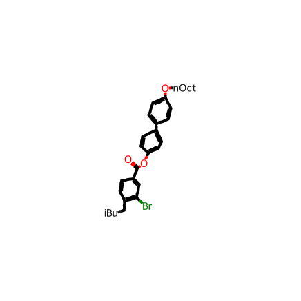 CCCCCCCCOc1ccc(-c2ccc(OC(=O)c3ccc(CC(C)CC)c(Br)c3)cc2)cc1